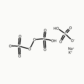 O=S(=O)([O-])O.O=S(=O)([O-])OOS(=O)(=O)O.[K+].[Na+]